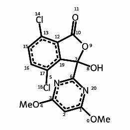 COc1cc(OC)nc(C2(O)OC(=O)c3c(Cl)ccc(Cl)c32)n1